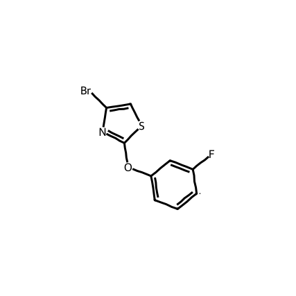 Fc1[c]ccc(Oc2nc(Br)cs2)c1